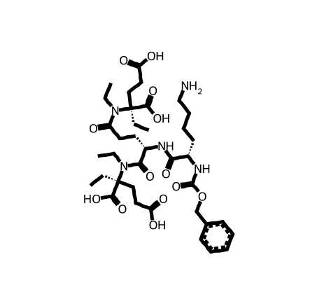 CCN(C(=O)CC[C@H](NC(=O)[C@H](CCCCN)NC(=O)OCc1ccccc1)C(=O)N(CC)[C@@](CC)(CCC(=O)O)C(=O)O)[C@@](CC)(CCC(=O)O)C(=O)O